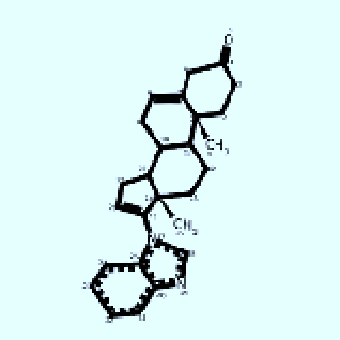 C[C@]12CCC(=O)CC1=CCC1C2CC[C@]2(C)C(n3cnc4ccccc43)=CCC12